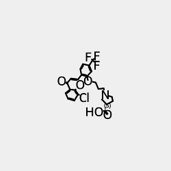 O=C(O)[C@H]1CCN(CCCOc2cc(C(F)(F)F)ccc2-c2cc(=O)c3cccc(Cl)c3o2)C1